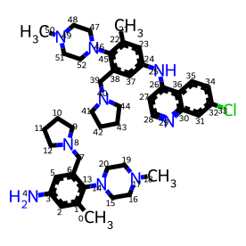 Cc1cc(N)cc(CN2CCCC2)c1N1CCN(C)CC1.Cc1cc(Nc2ccnc3cc(Cl)ccc23)cc(CN2CCCC2)c1N1CCN(C)CC1